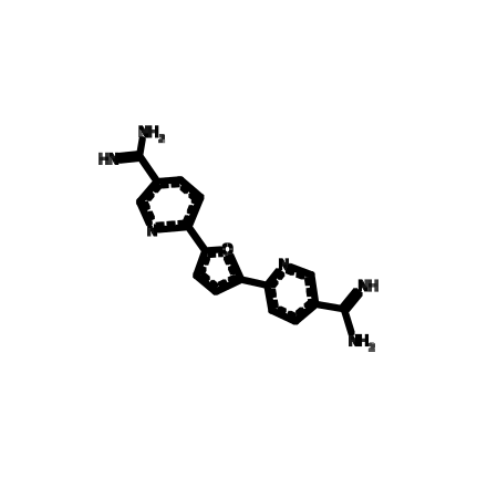 N=C(N)c1ccc(-c2ccc(-c3ccc(C(=N)N)cn3)o2)nc1